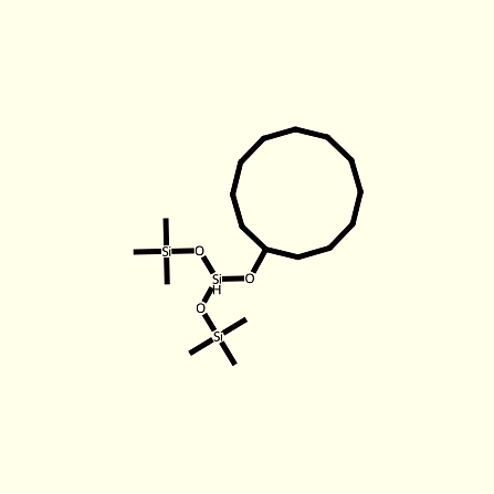 C[Si](C)(C)O[SiH](OC1CCCCCCCCCCC1)O[Si](C)(C)C